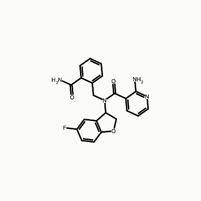 NC(=O)c1ccccc1CN(C(=O)c1cccnc1N)C1COc2ccc(F)cc21